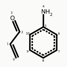 C=CC=O.Nc1ccccc1